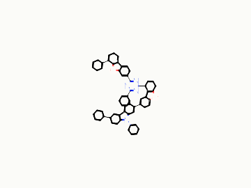 c1ccc(-c2ccc3c(c2)c2ccc(-c4ccc5oc6cccc(-c7nc(-c8ccccc8)nc(-c8ccc9c(c8)oc8c(-c%10ccccc%10)cccc89)n7)c6c5c4)cc2n3-c2ccccc2)cc1